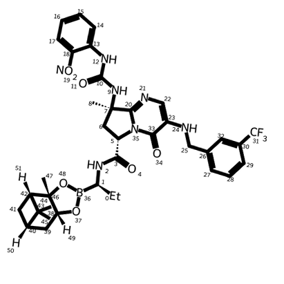 CC[C@H](NC(=O)[C@@H]1C[C@@](C)(NC(=O)Nc2ccccc2[N+](=O)[O-])c2ncc(NCc3cccc(C(F)(F)F)c3)c(=O)n21)B1O[C@@H]2C[C@@H]3C[C@@H](C3(C)C)[C@]2(C)O1